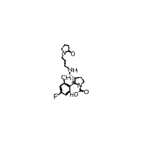 Cc1cc(F)ccc1[C@H]1[C@H](CNCCCN2CCCC2=O)CCN1C(=O)O